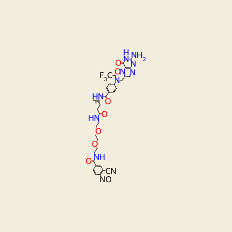 C[C@H](CCC(=O)NCCOCCOCCNC(=O)c1ccc(N=O)c(C#N)c1)NC(=O)c1ccc(N(Cc2cnc3nc(N)[nH]c(=O)c3n2)C(=O)C(F)(F)F)cc1